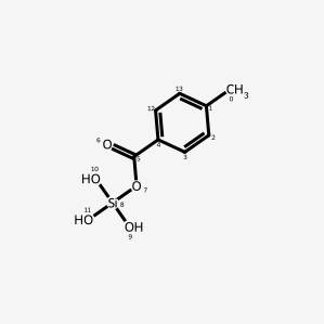 Cc1ccc(C(=O)O[Si](O)(O)O)cc1